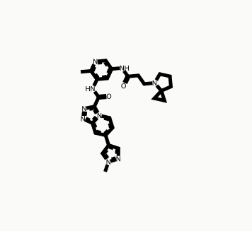 Cc1ncc(NC(=O)CCN2CCCC23CC3)cc1NC(=O)c1nnc2cc(-c3cnn(C)c3)ccn12